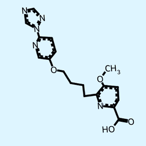 COc1ccc(C(=O)O)nc1CCCCOc1ccc(-n2cncn2)nc1